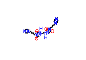 CN1CCN(CCCCN2C(=O)CN(NCCNN3CC(=O)N(CCCCN4CCN(C)CC4)C3=O)C2=O)CC1